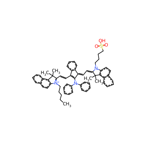 CCCCC[N+]1=C(/C=C/C2=C(N(c3ccccc3)c3ccccc3)C(=C/C=C3/N(CCCCS(=O)(=O)O)c4ccc5ccccc5c4C3(C)C)/c3ccccc32)C(C)(C)c2c1ccc1ccccc21